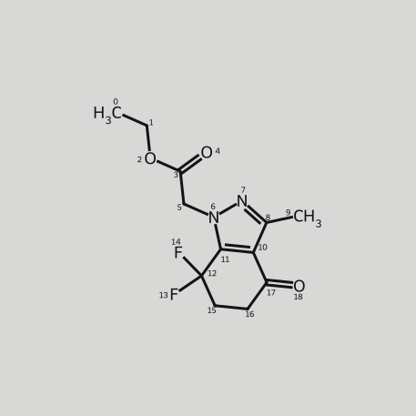 CCOC(=O)Cn1nc(C)c2c1C(F)(F)CCC2=O